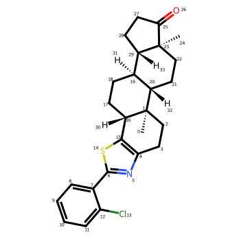 C[C@]12CCc3nc(-c4ccccc4Cl)sc3[C@@H]1CC[C@@H]1[C@@H]2CC[C@]2(C)C(=O)CC[C@@H]12